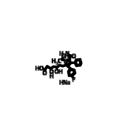 CC(C)n1c(CC[C@@H](O)C[C@@H](O)CC(=O)O)c(-c2ccc(F)cc2)c(-c2ccccc2)c1C(N)=O.[NaH]